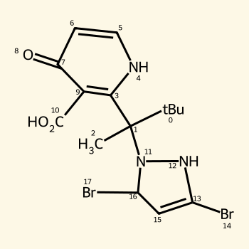 CC(C)(C)C(C)(c1[nH]ccc(=O)c1C(=O)O)N1NC(Br)=CC1Br